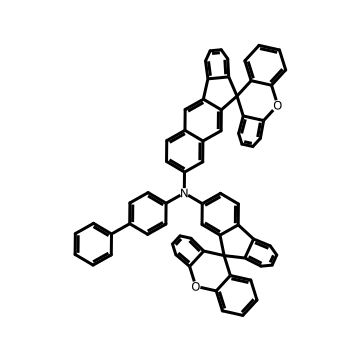 c1ccc(-c2ccc(N(c3ccc4c(c3)C3(c5ccccc5Oc5ccccc53)c3ccccc3-4)c3ccc4cc5c(cc4c3)C3(c4ccccc4Oc4ccccc43)c3ccccc3-5)cc2)cc1